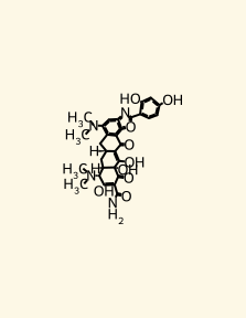 CN(C)c1cc2nc(-c3ccc(O)cc3O)oc2c2c1C[C@H]1C[C@H]3[C@H](N(C)C)C(O)=C(C(N)=O)C(=O)[C@@]3(O)C(O)=C1C2=O